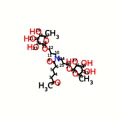 CC(=O)CCCCC(=O)N(CCCO[C@@H]1O[C@@H](C)[C@@H](O)[C@@H](O)[C@@H]1O)CCCO[C@@H]1O[C@@H](C)[C@@H](O)[C@@H](O)[C@@H]1O